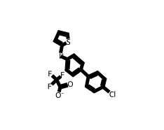 Clc1ccc(-c2ccc([I+]c3cccs3)cc2)cc1.O=C([O-])C(F)(F)F